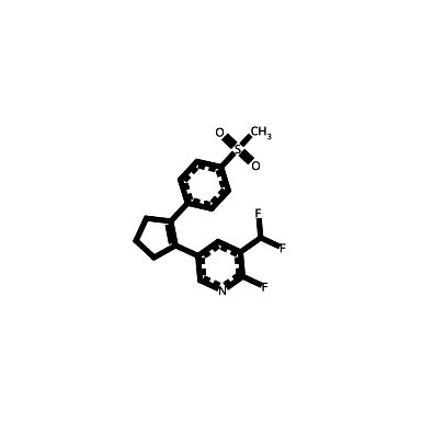 CS(=O)(=O)c1ccc(C2=C(c3cnc(F)c(C(F)F)c3)CCC2)cc1